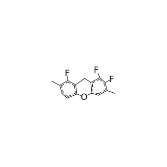 Cc1cc2c(c(F)c1F)Cc1c(ccc(C)c1F)O2